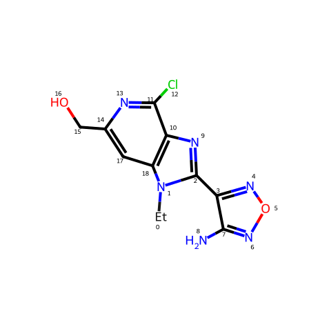 CCn1c(-c2nonc2N)nc2c(Cl)nc(CO)cc21